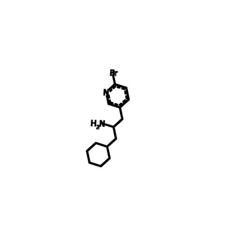 NC(Cc1ccc(Br)nc1)CC1CCCCC1